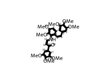 COc1cc(/C=C\c2ccc(OC)c(OC)c2N/C=C\C(=O)c2cc(OC)c(OC)c(OC)c2)cc(OC)c1OC